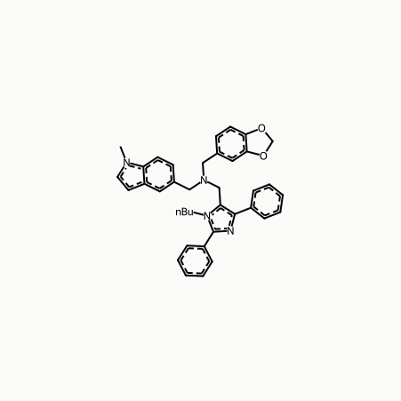 CCCCn1c(-c2ccccc2)nc(-c2ccccc2)c1CN(Cc1ccc2c(c1)OCO2)Cc1ccc2c(ccn2C)c1